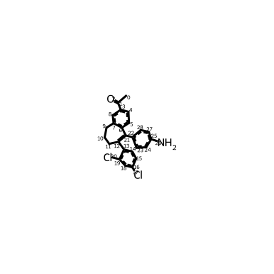 CC(=O)c1ccc2c(c1)CCCC(c1ccc(Cl)cc1Cl)=C2c1ccc(N)cc1